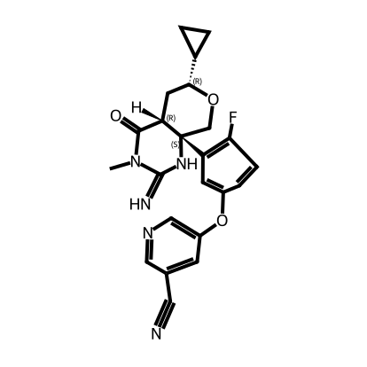 CN1C(=N)N[C@@]2(c3cc(Oc4cncc(C#N)c4)ccc3F)CO[C@@H](C3CC3)C[C@H]2C1=O